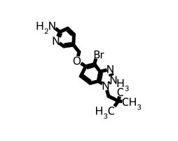 CC(C)(C)Cn1nnc2c(Br)c(OCc3ccc(N)nc3)ccc21